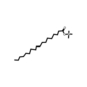 CCCCCCCC/C=C/CCCCCCCC(=O)O[Si](C)(C)C